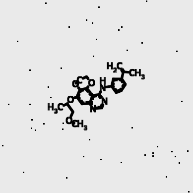 C=C(C)c1cccc(Nc2ncnc3cc(OC(C)COC)c4c(c23)OCCO4)c1